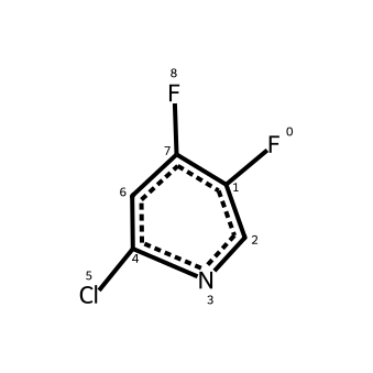 Fc1cnc(Cl)cc1F